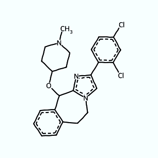 CN1CCC(OC2c3ccccc3CCn3cc(-c4ccc(Cl)cc4Cl)nc32)CC1